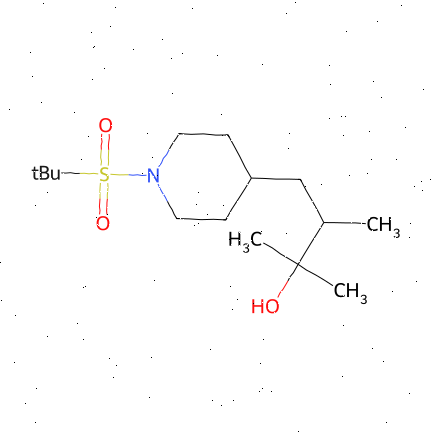 CC(CC1CCN(S(=O)(=O)C(C)(C)C)CC1)C(C)(C)O